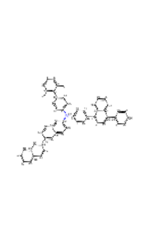 Cc1cccc(C)c1-c1ccc(N(c2ccc(-c3ccc(-c4ccccc4)c4ccccc34)cc2)c2ccc3cc(-c4ccc5ccccc5c4)ccc3c2)cc1